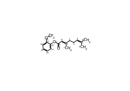 CC(C)=CCC/C(C)=C/C(=O)Oc1ccccc1OC(F)(F)F